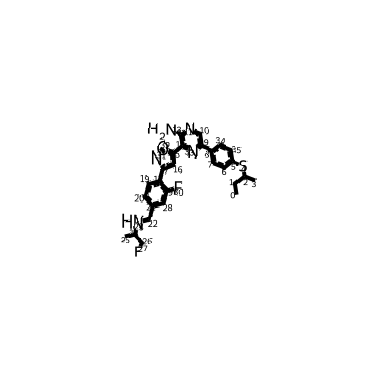 CCC(C)Sc1ccc(-c2cnc(N)c(-c3cc(-c4ccc(CNC(C)CF)cc4F)no3)n2)cc1